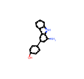 Nc1cc(-c2ccc(O)cc2)cc2c1[nH]c1ccccc12